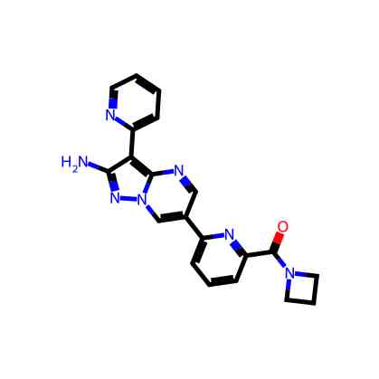 Nc1nn2cc(-c3cccc(C(=O)N4CCC4)n3)cnc2c1-c1ccccn1